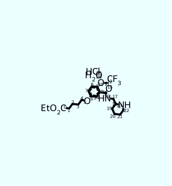 CCOC(=O)CCCCOc1ccc(OCC(F)(F)F)c(C(=O)NCC2CCCCN2)c1.Cl.O